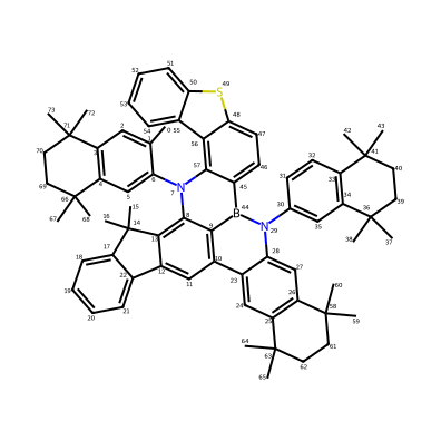 Cc1cc2c(cc1N1c3c4c(cc5c3C(C)(C)c3ccccc3-5)-c3cc5c(cc3N(c3ccc6c(c3)C(C)(C)CCC6(C)C)B4c3ccc4sc6ccccc6c4c31)C(C)(C)CCC5(C)C)C(C)(C)CCC2(C)C